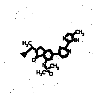 Cc1cnc(-c2cc(-c3cc4c(c(N=S(C)(C)=O)c3)C(=O)N([C@@H](C)C3CC3)C4)ccn2)[nH]1